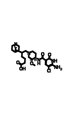 CO[C@@H]1CN(CC(CCCC(=O)O)C2CN3CCC2CC3)CC[C@@H]1NC(=O)c1cc(Cl)c(N)[nH]c1=O